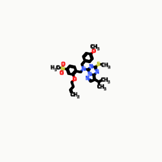 C=CCCOc1cc(S(C)(=O)=O)ccc1CN(Cc1ccc(OC)cc1)c1nc(SC)nc2c(C(C)C)cnn12